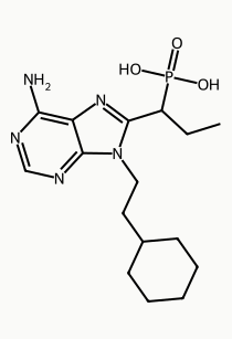 CCC(c1nc2c(N)ncnc2n1CCC1CCCCC1)P(=O)(O)O